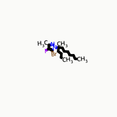 CCCCCCCC(C)(CCCC)n1nc(C)c(I)c1Br